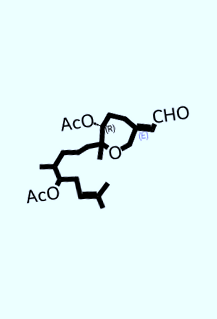 CC(=O)OC(CC=C(C)C)C(C)CCCC1(C)OC/C(=C/C=O)CC[C@H]1OC(C)=O